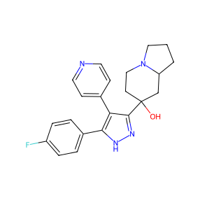 OC1(c2n[nH]c(-c3ccc(F)cc3)c2-c2ccncc2)CCN2CCCC2C1